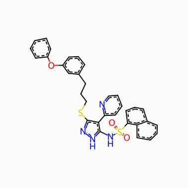 O=S(=O)(Nc1[nH]nc(SCCCc2cccc(Oc3ccccc3)c2)c1-c1ccccn1)c1cccc2ccccc12